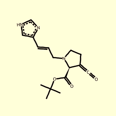 CC(C)(C)OC(=O)[C@@H]1C(=C=O)CCN1CC=Cc1c[nH]cn1